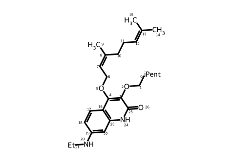 CCCC(C)COc1c(OCC=C(C)CCC=C(C)C)c2ccc(NCC)cc2[nH]c1=O